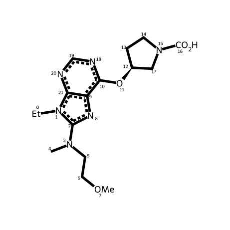 CCn1c(N(C)CCOC)nc2c(O[C@H]3CCN(C(=O)O)C3)ncnc21